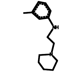 Cc1cccc(NCCN2CCCCC2)c1